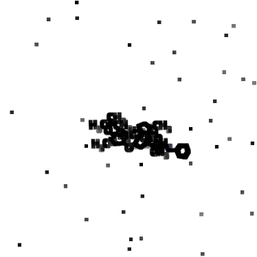 CC(C)[C@@]12C[C@@H](OC(=O)CN(C)C(=O)OC(C)(C)C)C(C)(O1)[C@@H]1CC[C@@H](C)[C@H]1[C@@H]2OC(=O)/C=C/c1ccccc1